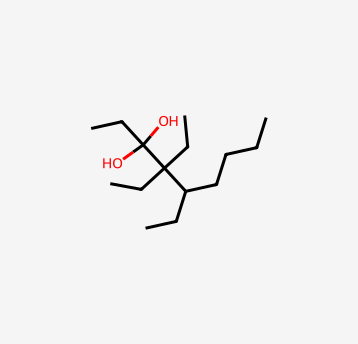 CCCCC(CC)C(CC)(CC)C(O)(O)CC